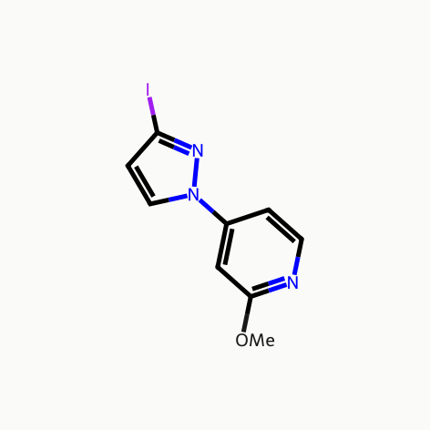 COc1cc(-n2ccc(I)n2)ccn1